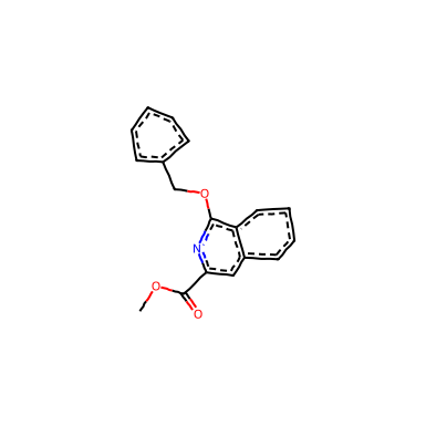 COC(=O)c1cc2ccccc2c(OCc2ccccc2)n1